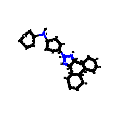 CN(c1ccccc1)c1ccc(-n2nc3c4ccccc4c4ccccc4c3n2)cc1